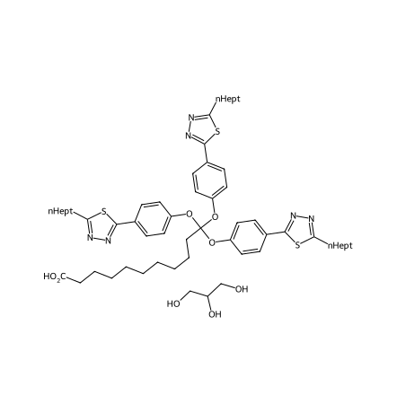 CCCCCCCc1nnc(-c2ccc(OC(CCCCCCCCCC(=O)O)(Oc3ccc(-c4nnc(CCCCCCC)s4)cc3)Oc3ccc(-c4nnc(CCCCCCC)s4)cc3)cc2)s1.OCC(O)CO